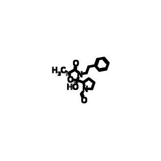 C[C@H]1O[C@@](O)(C2CCCN2C=O)N(CCc2ccccc2)C1=O